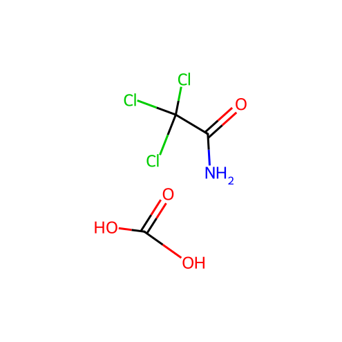 NC(=O)C(Cl)(Cl)Cl.O=C(O)O